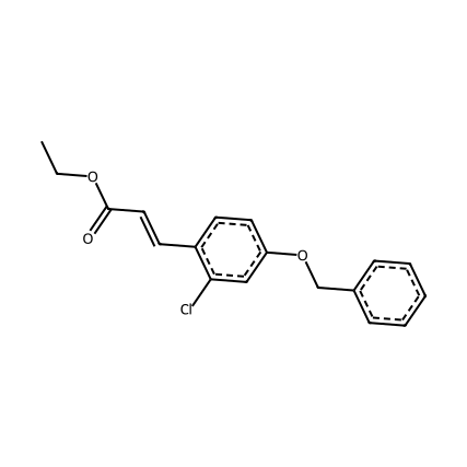 CCOC(=O)C=Cc1ccc(OCc2ccccc2)cc1Cl